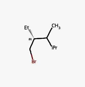 CC[C@@H](CBr)C(C)C(C)C